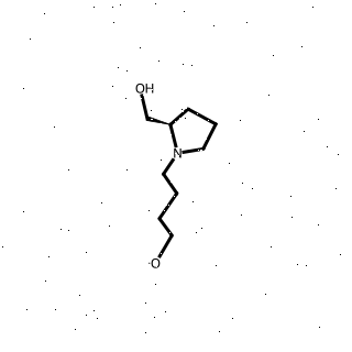 [O]CCCCN1CCC[C@@H]1CO